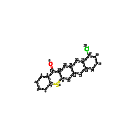 O=c1c2ccccc2sc2cc3cc4cccc(Cl)c4cc3cc12